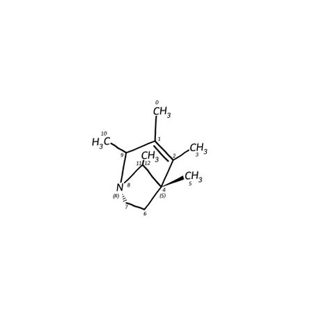 CC1=C(C)[C@]2(C)CC[N@](C1C)C2C